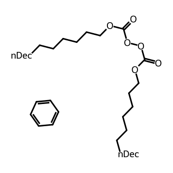 CCCCCCCCCCCCCCCCOC(=O)OOC(=O)OCCCCCCCCCCCCCCCC.c1ccccc1